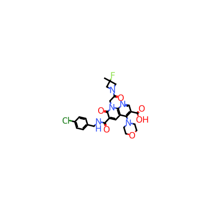 CC1(F)CN(C(=O)Cn2c(=O)c(C(=O)NCc3ccc(Cl)cc3)cc3c(N4CCOCC4)c(C(=O)O)cnc32)C1